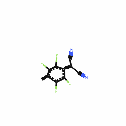 C=c1c(F)c(F)c(=C(C#N)C#N)c(F)c1F